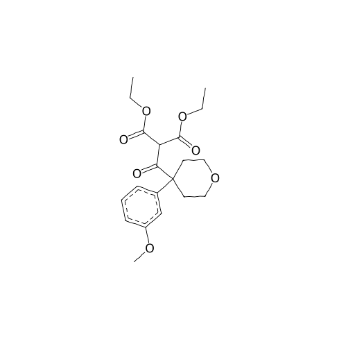 CCOC(=O)C(C(=O)OCC)C(=O)C1(c2cccc(OC)c2)CCOCC1